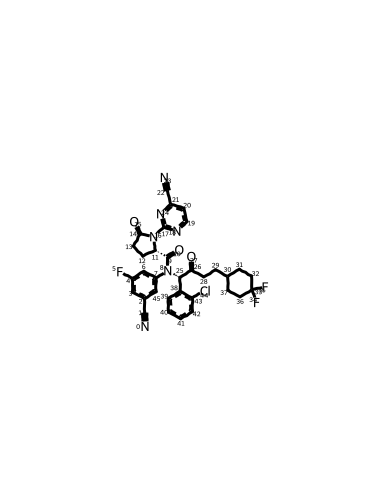 N#Cc1cc(F)cc(N(C(=O)[C@@H]2CCC(=O)N2c2nccc(C#N)n2)[C@H](C(=O)CCC2CCC(F)(F)CC2)c2ccccc2Cl)c1